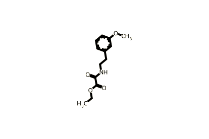 CCOC(=O)C(=O)NCCc1cccc(OC)c1